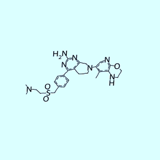 Cc1c(N2CCc3c(nc(N)nc3-c3ccc(CS(=O)(=O)CCN(C)C)cc3)C2)cnc2c1NCCO2